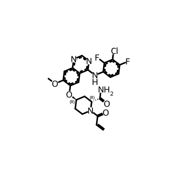 C=CC(=O)N1CC[C@@H](Oc2cc3c(Nc4ccc(F)c(Cl)c4F)ncnc3cc2OC)C[C@@H]1C(N)=O